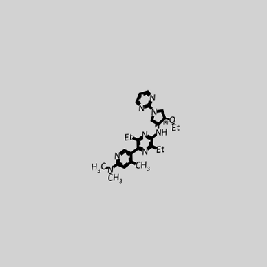 CCO[C@@H]1CN(c2ncccn2)C[C@H]1Nc1nc(CC)c(-c2cnc(N(C)C)cc2C)nc1CC